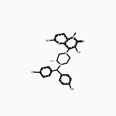 C[C@@H]1CN(c2c(C#N)c(=O)n(C)c3ccc(C#N)nc23)CCN1C(c1ccc(Cl)cc1)c1ccc(C#N)cc1